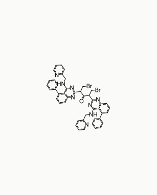 O=C(C(CBr)c1nc(NCc2ccccn2)c2c(-c3ccccc3)cccc2n1)C(CBr)c1nc(NCc2ccccn2)c2c(-c3ccccc3)cccc2n1